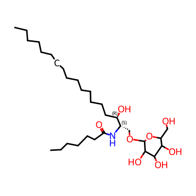 CCCCCCCCCCCCCCC[C@@H](O)[C@H](COC1OC(CO)C(O)C(O)C1O)NC(=O)CCCCCC